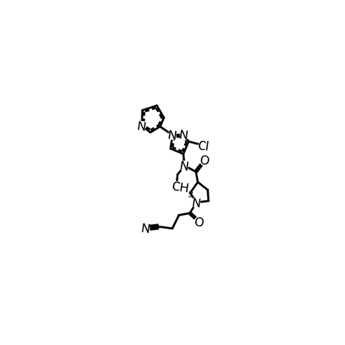 CCN(C(=O)C1CCN(C(=O)CCC#N)C1)c1cn(-c2cccnc2)nc1Cl